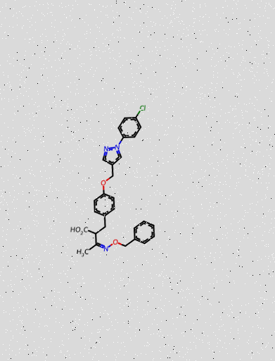 CC(=NOCc1ccccc1)C(Cc1ccc(OCc2cnn(-c3ccc(Cl)cc3)c2)cc1)C(=O)O